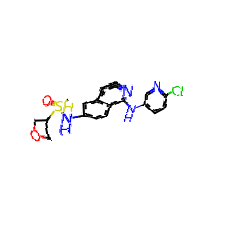 C[SH](=O)(Nc1ccc2c(Nc3ccc(Cl)nc3)nccc2c1)C1COC1